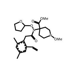 C=Cc1cc(C)cc(C)c1CC(=O)N(OC1CCCO1)C1(C(=O)OC)CCN(OC)CC1